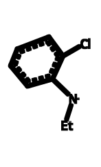 CC[N]c1ccccc1Cl